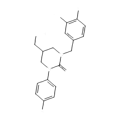 O=C(O)CC1CN(Cc2ccc(F)c(C(F)(F)F)c2)C(=O)N(c2ccc(Br)cc2)C1